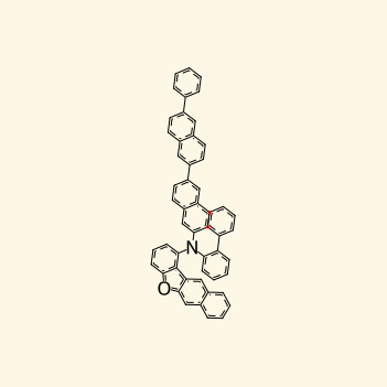 c1ccc(-c2ccc3cc(-c4ccc5cc(N(c6ccccc6-c6ccccc6)c6cccc7oc8cc9ccccc9cc8c67)ccc5c4)ccc3c2)cc1